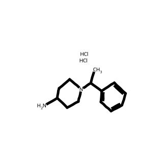 CC(c1ccccc1)N1CCC(N)CC1.Cl.Cl